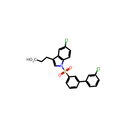 O=C(O)CCc1cn(S(=O)(=O)c2cccc(-c3cccc(Cl)c3)c2)c2ccc(Cl)cc12